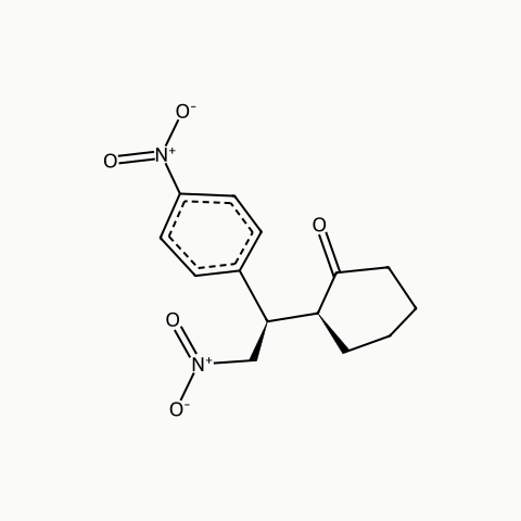 O=C1CCCC[C@H]1[C@@H](C[N+](=O)[O-])c1ccc([N+](=O)[O-])cc1